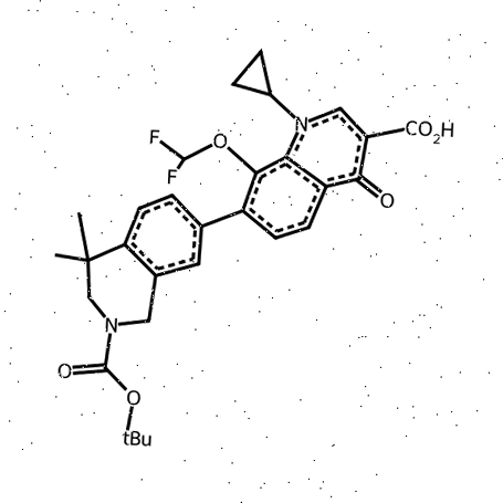 CC(C)(C)OC(=O)N1Cc2cc(-c3ccc4c(=O)c(C(=O)O)cn(C5CC5)c4c3OC(F)F)ccc2C(C)(C)C1